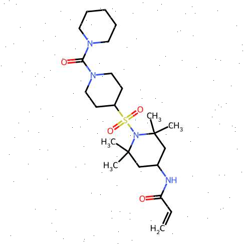 C=CC(=O)NC1CC(C)(C)N(S(=O)(=O)C2CCN(C(=O)N3CCCCC3)CC2)C(C)(C)C1